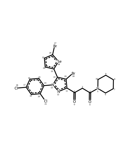 O=C(CC(=O)N1CCCCC1)c1nn(-c2ccc(Cl)cc2Cl)c(-c2ccc(Br)[se]2)c1Br